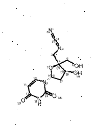 [N-]=[N+]=NC[C@]1(CO)O[C@@H](n2ccc(=O)[nH]c2=O)C[C@@H]1O